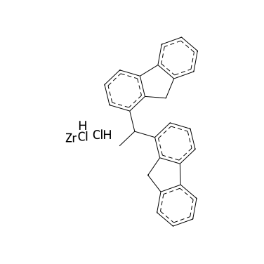 CC(c1cccc2c1Cc1ccccc1-2)c1cccc2c1Cc1ccccc1-2.Cl.Cl.[Zr]